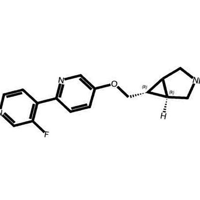 Fc1cnccc1-c1ccc(OC[C@@H]2C3CNC[C@H]32)cn1